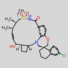 CC[C@H]1[C@H](C)[C@H](C)/C=C\[C@H](O)[C@@H]2CC[C@H]2CN2C[C@@]3(CCCc4cc(Cl)ccc43)COc3ccc(cc32)C(=O)NS1(=O)=O